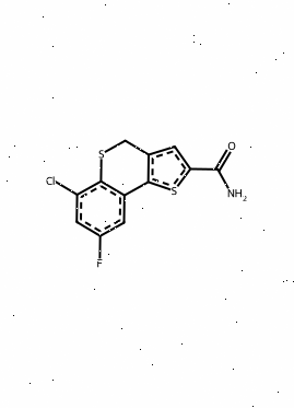 NC(=O)c1cc2c(s1)-c1cc(F)cc(Cl)c1SC2